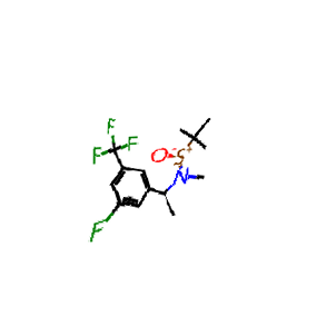 C[C@@H](c1cc(F)cc(C(F)(F)F)c1)N(C)[S@@+]([O-])C(C)(C)C